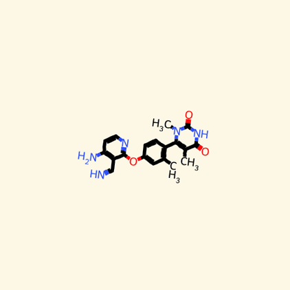 Cc1cc(Oc2nccc(N)c2C=N)ccc1-c1c(C)c(=O)[nH]c(=O)n1C